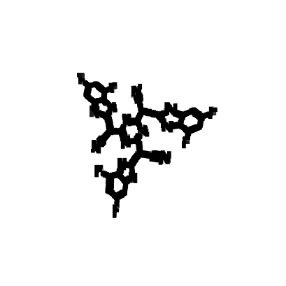 N#CC(=C1N=c2cc(F)cc(F)c2=N1)c1nc(C(C#N)=C2N=c3cc(F)cc(F)c3=N2)nc(C(C#N)=C2N=c3cc(F)cc(F)c3=N2)n1